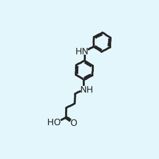 O=C(O)CCCNc1ccc(Nc2ccccc2)cc1